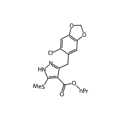 CCCOC(=O)c1c(Cc2cc3c(cc2Cl)OCO3)n[nH]c1SC